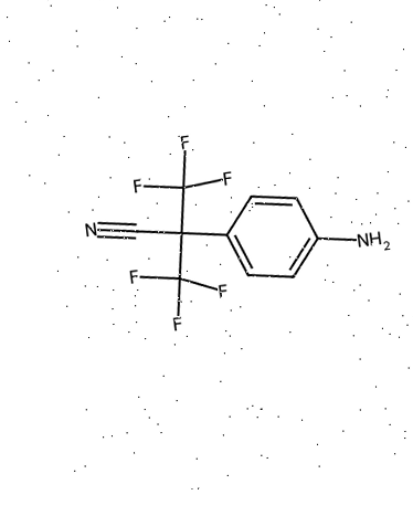 N#CC(c1ccc(N)cc1)(C(F)(F)F)C(F)(F)F